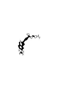 CCOC(=O)C#Cc1cc2cc(OC(F)(F)F)ccc2cn1